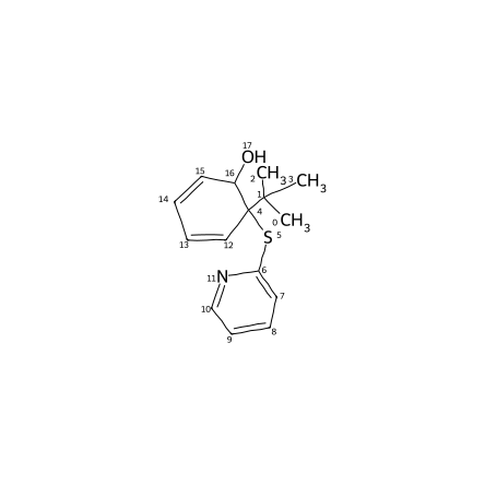 CC(C)(C)C1(Sc2ccccn2)C=CC=CC1O